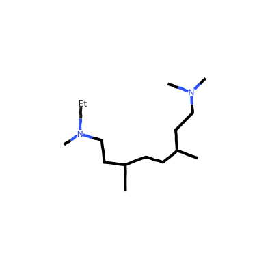 CCN(C)CCC(C)CCC(C)CCN(C)C